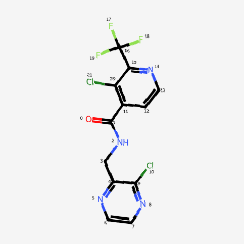 O=C(NCc1nccnc1Cl)c1ccnc(C(F)(F)F)c1Cl